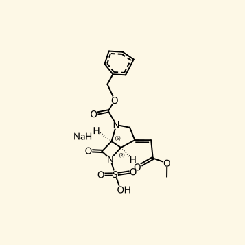 COC(=O)C=C1CN(C(=O)OCc2ccccc2)[C@@H]2C(=O)N(S(=O)(=O)O)[C@H]12.[NaH]